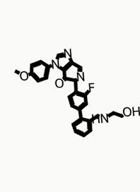 COc1ccc(-n2cnc3c2C(=O)C(c2ccc(-c4ccccc4CNCCO)cc2F)N=C3)cc1